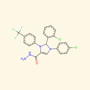 NNC(=O)C1=CN(c2ccc(Cl)cc2)C(c2ccccc2Cl)N1c1ccc(C(F)(F)F)cc1